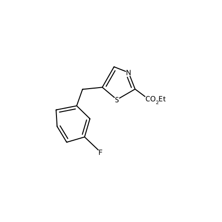 CCOC(=O)c1ncc(Cc2cccc(F)c2)s1